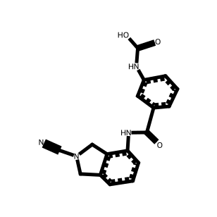 N#CN1Cc2cccc(NC(=O)c3cccc(NC(=O)O)c3)c2C1